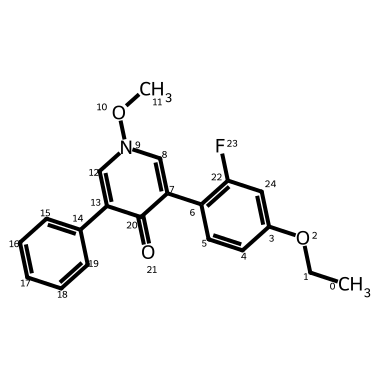 CCOc1ccc(-c2cn(OC)cc(-c3ccccc3)c2=O)c(F)c1